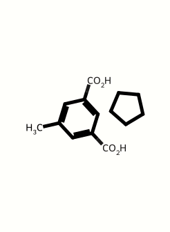 C1CCCC1.Cc1cc(C(=O)O)cc(C(=O)O)c1